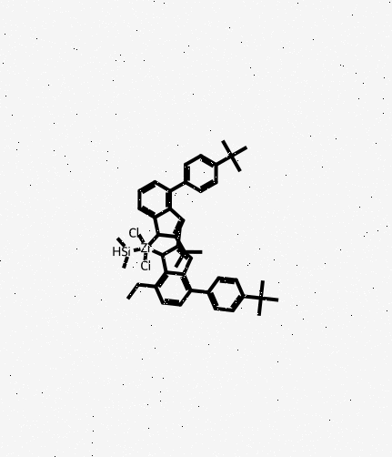 CCc1ccc(-c2ccc(C(C)(C)C)cc2)c2c1[CH]([Zr]([Cl])([Cl])([CH]1C(C(C)C)=Cc3c(-c4ccc(C(C)(C)C)cc4)cccc31)[SiH](C)C)C(C)=C2